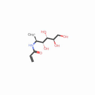 C=CC(=O)N[C@@H](C=O)[C@@H](O)[C@H](O)[C@H](O)CO